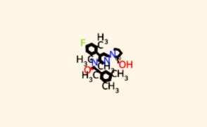 Cc1cc(C)cc(C(C)(C)C(=O)N(C)c2cnc(N3CCC[C@H]3CO)cc2-c2ccc(F)cc2C)c1